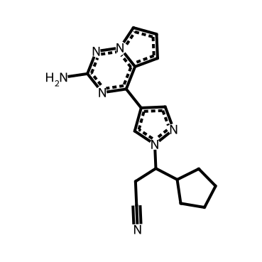 N#CCC(C1CCCC1)n1cc(-c2nc(N)nn3cccc23)cn1